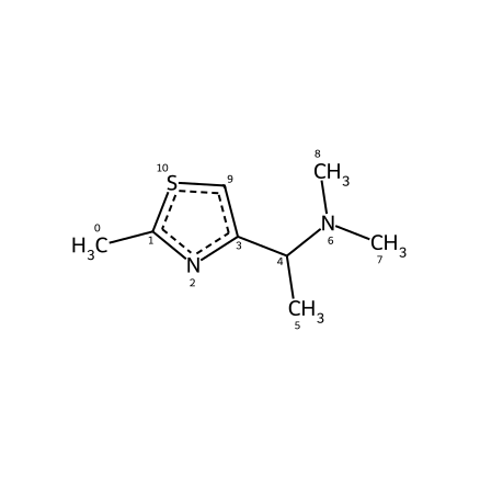 Cc1nc(C(C)N(C)C)cs1